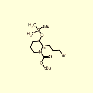 CC(C)(C)OC(=O)N1CCCC(O[Si](C)(C)C(C)(C)C)[C@H]1CCCBr